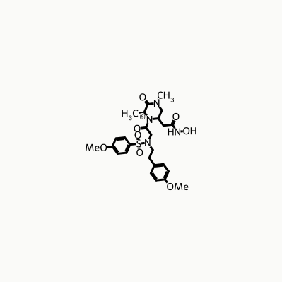 COc1ccc(CCN(CC(=O)N2C(CC(=O)NO)CN(C)C(=O)[C@@H]2C)S(=O)(=O)c2ccc(OC)cc2)cc1